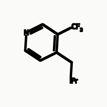 CC(C)Cc1ccncc1C(F)(F)F